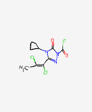 CC(Cl)=C(Cl)c1nn(C(=O)Cl)c(=O)n1C1CC1